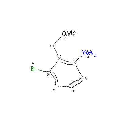 COCc1c(N)cccc1Br